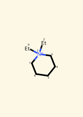 CC[N+]1(CC)CCCCC1